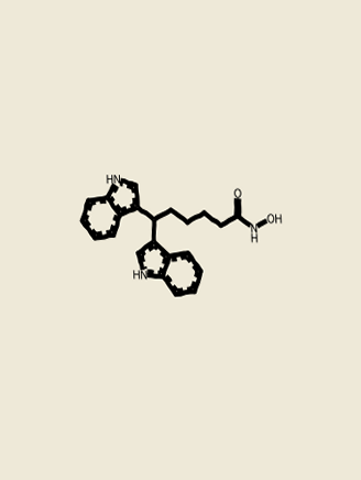 O=C(CCCCC(c1c[nH]c2ccccc12)c1c[nH]c2ccccc12)NO